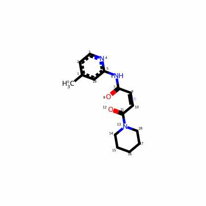 Cc1ccnc(NC(=O)/C=C\C(=O)N2CCCCC2)c1